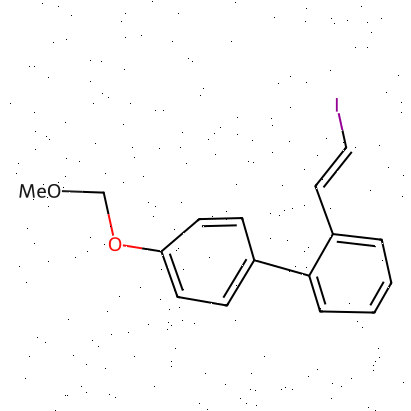 COCOc1ccc(-c2ccccc2/C=C/I)cc1